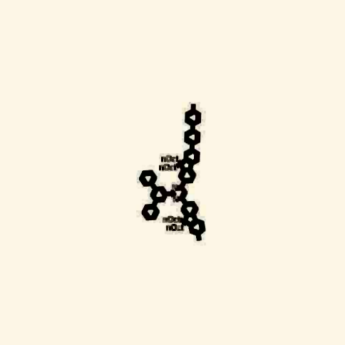 CCCCCCCCC1(CCCCCCCC)c2cc(C)ccc2-c2ccc(-c3cc(-c4ccc5c(c4)C(CCCCCCCC)(CCCCCCCC)c4cc(-c6ccc(-c7ccc(C)cc7)cc6)ccc4-5)nc(-c4cc(-c5ccccc5)cc(-c5ccccc5)c4)n3)cc21